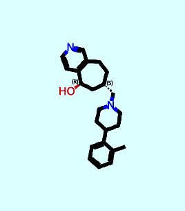 Cc1ccccc1C1CCN(C[C@H]2CCc3cnccc3[C@H](O)C2)CC1